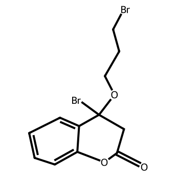 O=C1CC(Br)(OCCCBr)c2ccccc2O1